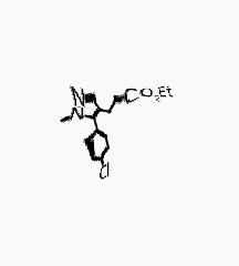 CCOC(=O)CCc1cnn(C)c1-c1ccc(Cl)cc1